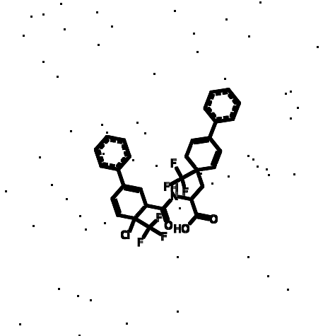 O=C(O)C(CC1(C(F)(F)F)C=CC(c2ccccc2)=CC1)NC(=O)C1C=C(c2ccccc2)C=CC1(Cl)C(F)(F)F